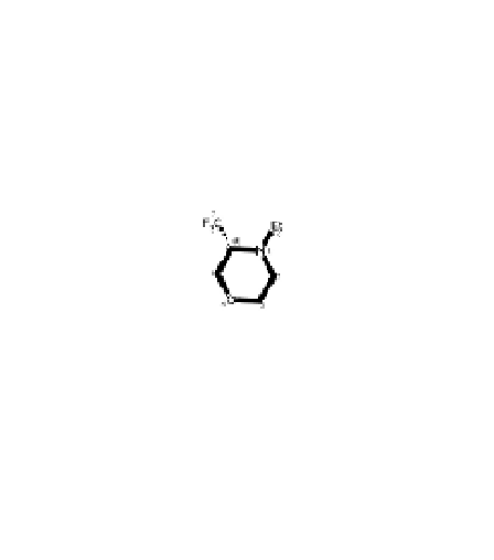 CCN1CCOC[C@@H]1C(F)(F)F